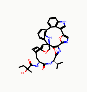 CCC(C)(O)C(=O)N[C@H]1Cc2ccc3c(c2)[C@]24c5cccc(c5NC2O3)-c2cccc3[nH]cc(c23)-c2cnc(o2)-c2nc(oc24)[C@H](C(C)C)NC1=O